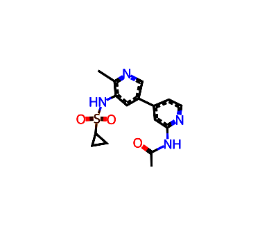 CC(=O)Nc1cc(-c2cnc(C)c(NS(=O)(=O)C3CC3)c2)ccn1